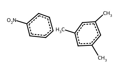 Cc1cc(C)cc(C)c1.O=[N+]([O-])c1ccccc1